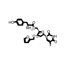 N[C@@H](Cc1ccc(O)cc1)C(=O)OC[C@H]1O[C@@H](n2cc(F)c(=O)[nH]c2=O)C[C@@H]1OCc1ccco1